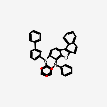 c1ccc(-c2cccc(N(c3ccccc3)c3ccc4c(oc5ccc6ccccc6c54)c3N(c3ccccc3)c3ccccc3)c2)cc1